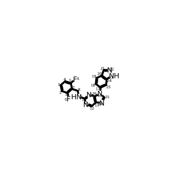 Fc1cccc(F)c1CNc1ncc2ncn(-c3ccc4cn[nH]c4c3)c2n1